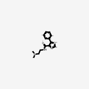 CN(C)CCNC(=O)c1ncoc1-c1ccccc1